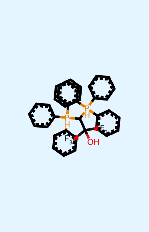 OC(C([PH](c1ccccc1)(c1ccccc1)c1ccccc1)[PH](c1ccccc1)(c1ccccc1)c1ccccc1)(C(F)(F)F)C(F)(F)F